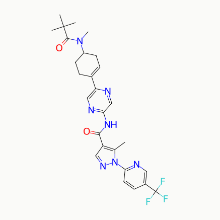 Cc1c(C(=O)Nc2cnc(C3=CCC(N(C)C(=O)C(C)(C)C)CC3)cn2)cnn1-c1ccc(C(F)(F)F)cn1